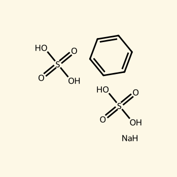 O=S(=O)(O)O.O=S(=O)(O)O.[NaH].c1ccccc1